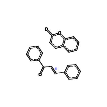 O=C(/C=C/c1ccccc1)c1ccccc1.O=c1ccc2ccccc2o1